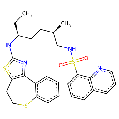 CC[C@@H](CC[C@@H](C)CNS(=O)(=O)c1cccc2cccnc12)Nc1nc2c(s1)CCSc1ccccc1-2